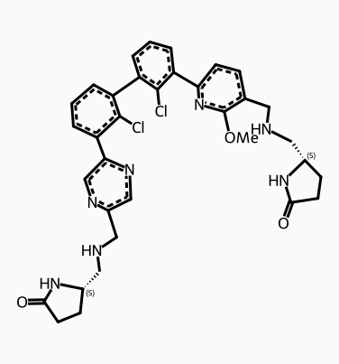 COc1nc(-c2cccc(-c3cccc(-c4cnc(CNC[C@@H]5CCC(=O)N5)cn4)c3Cl)c2Cl)ccc1CNC[C@@H]1CCC(=O)N1